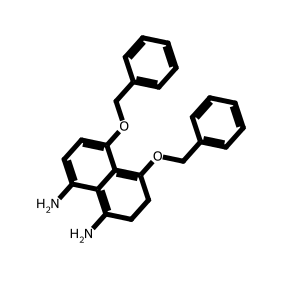 NC1=c2c(N)ccc(OCc3ccccc3)c2=C(OCc2ccccc2)CC1